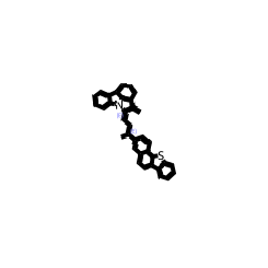 C=c1/c(=C\C=C(/C)c2ccc3c(ccc4c5ccccc5sc34)c2)n2c3ccccc3c3cccc1c32